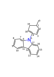 CC1C=CC(n2c3ccccc3c3ccccc32)=CC1